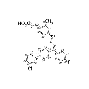 Cc1cc(SCC=C(c2ccc(F)cc2)c2ccc(-c3cccc(Cl)c3)cc2)ccc1OCC(=O)O